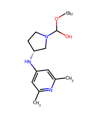 Cc1cc(N[C@@H]2CCN(C(O)OC(C)(C)C)C2)cc(C)n1